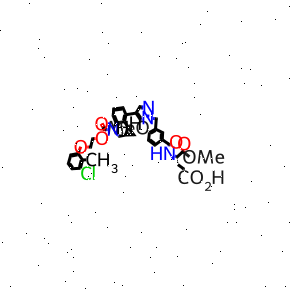 COC(=O)[C@H](CCC(=O)O)NC(=O)c1ccc(OC)c(Cn2cc(-c3cccc4c3[C@H]3C[C@H]3CN4C(=O)OCCOc3cccc(Cl)c3C)cn2)c1